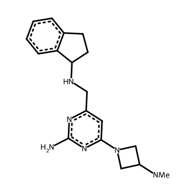 CNC1CN(c2cc(CNC3CCc4ccccc43)nc(N)n2)C1